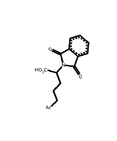 CC(=O)CCCC(C(=O)O)N1C(=O)c2ccccc2C1=O